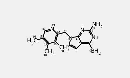 Bc1nc(N)nc2c1ccn2Cc1ncc(C)c(C)c1C